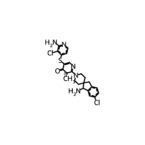 C[C@@H]1C(=O)C(Sc2ccnc(N)c2Cl)=CN=C1N1CCC2(CC1)Cc1ccc(Cl)cc1C2N